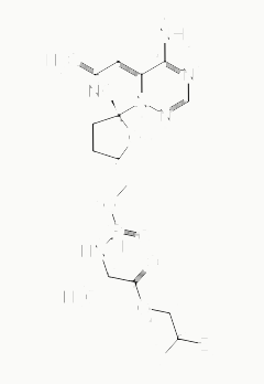 C=C/C=C1/C(N)=NC=NN1[C@@]1(C#N)CC[C@@H](CO[PH](=O)N[C@@H](C)C(=O)OCC(CC)CC)O1